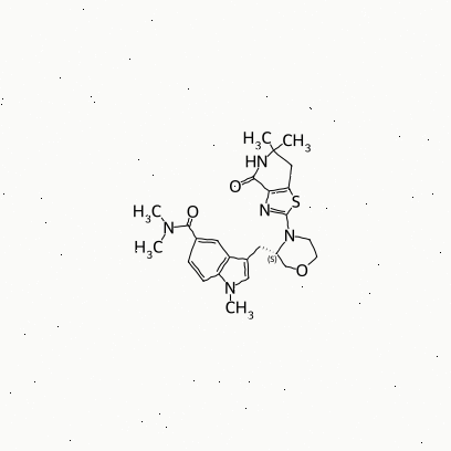 CN(C)C(=O)c1ccc2c(c1)c(C[C@H]1COCCN1c1nc3c(s1)CC(C)(C)NC3=O)cn2C